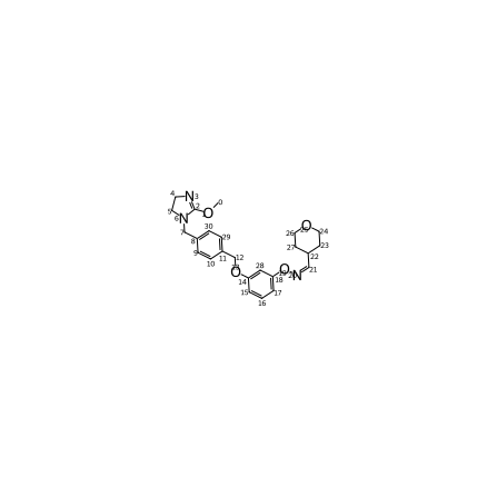 COC1=NCCN1Cc1ccc(COc2cccc(O/N=C\C3CCOCC3)c2)cc1